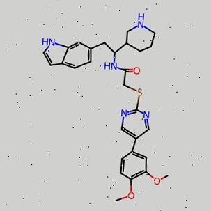 COc1ccc(-c2cnc(SCC(=O)NC(Cc3ccc4cc[nH]c4c3)C3CCCNC3)nc2)cc1OC